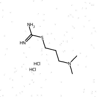 CN(C)CCCSC(=N)N.Cl.Cl